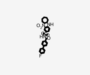 O=C(NS(=O)(=O)c1ccc(NC2CCCCCC2)c([N+](=O)[O-])c1)c1ccc(-c2ccc(F)cc2)cc1